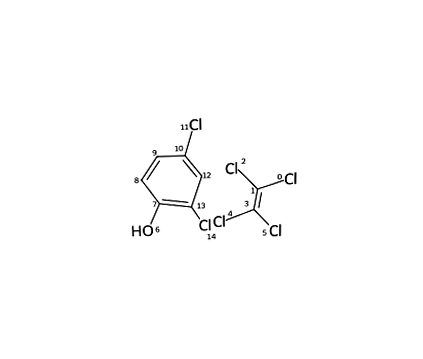 ClC(Cl)=C(Cl)Cl.Oc1ccc(Cl)cc1Cl